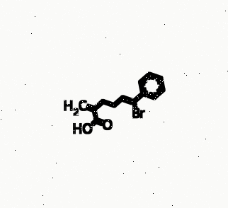 C=C(CCC=C(Br)c1ccccc1)C(=O)O